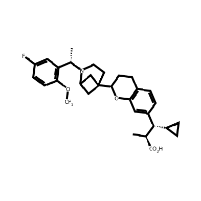 C[C@H](C(=O)O)[C@H](c1ccc2c(c1)OC(C13CCN([C@@H](C)c4cc(F)ccc4OC(F)(F)F)C(C1)C3)CC2)C1CC1